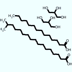 CC(C)CCCCCCCCCCCCCCC(=O)O.CCCCCCCCCCCCCC(=O)O.OCC(O)CO.OCC(O)CO